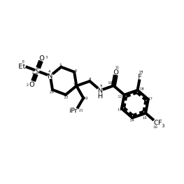 CCS(=O)(=O)N1CCC(CNC(=O)c2ccc(C(F)(F)F)cc2F)(CC(C)C)CC1